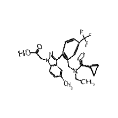 CCN(Cc1cc(C(F)(F)F)ccc1-c1nn(CC(=O)O)c2ccc(C)cc12)C(=O)C1CC1